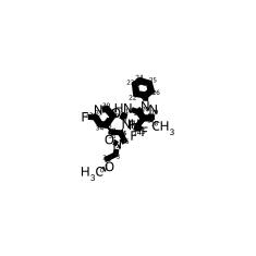 COCCN1C[C@@H](NC(=O)Nc2c(C(F)(F)F)c(C)nn2-c2ccccc2)[C@H](c2ccnc(F)c2)O1